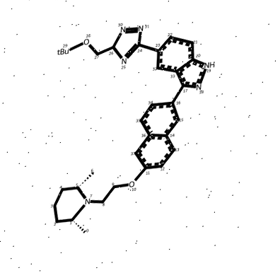 C[C@@H]1CCC[C@H](C)N1CCOc1ccc2cc(-c3n[nH]c4ccc(C5=NC(COC(C)(C)C)N=N5)cc34)ccc2c1